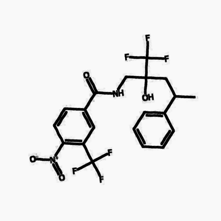 CC(CC(O)(CNC(=O)c1ccc([N+](=O)[O-])c(C(F)(F)F)c1)C(F)(F)F)c1ccccc1